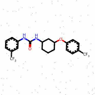 O=C(Nc1cccc(C(F)(F)F)c1)NC1CCCC(Oc2ccc(C(F)(F)F)cc2)C1